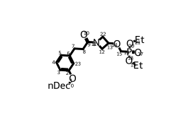 CCCCCCCCCCOc1cccc(CCC(=O)N2CC(OCP(=O)(OCC)OCC)C2)c1